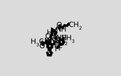 C=CCCCC(=O)NC[C@@]12C[C@@H](C(=O)Nc3nc(C(F)(F)F)ccc3C)N(C(=O)Cn3nc(C(C)=O)c4cc(N5CCCC5)cc(CC=C)c43)[C@@H]1C2